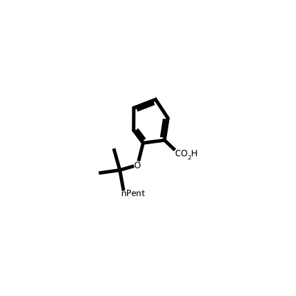 CCCCCC(C)(C)Oc1ccccc1C(=O)O